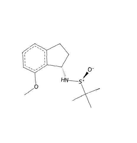 COc1cccc2c1[C@@H](N[S@@+]([O-])C(C)(C)C)CC2